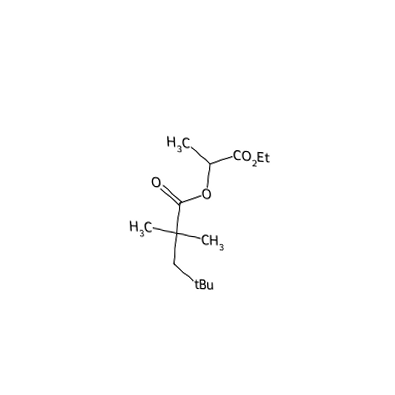 CCOC(=O)C(C)OC(=O)C(C)(C)CC(C)(C)C